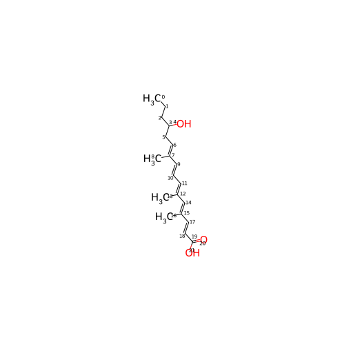 CCCC(O)C/C=C(C)/C=C/C=C(C)/C=C(C)/C=C/C(=O)O